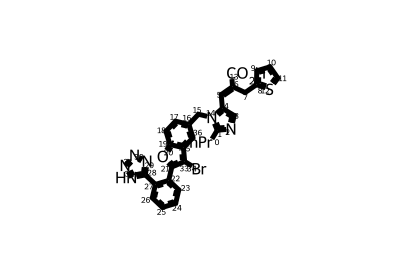 CCCc1ncc(/C=C(\Cc2cccs2)C(=O)O)n1Cc1ccc2oc(-c3ccccc3-c3nnn[nH]3)c(Br)c2c1